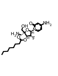 CCCCCCCC(=O)O[C@H]1[C@@H](F)[C@H](n2ccc(N)cc2=O)O[C@]1(CN)CO